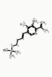 C=C(C)c1ncc(/C=C/CCO[Si](C)(C)C(C)(C)C)c(C)c1[N+](=O)[O-]